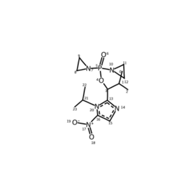 CC(C)C(OP(=O)(N1CC1)N1CC1)c1ncc([N+](=O)[O-])n1C(C)C